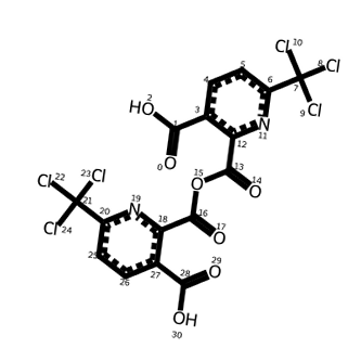 O=C(O)c1ccc(C(Cl)(Cl)Cl)nc1C(=O)OC(=O)c1nc(C(Cl)(Cl)Cl)ccc1C(=O)O